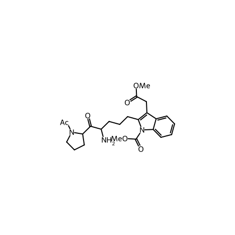 COC(=O)Cc1c(CCCC(N)C(=O)C2CCCN2C(C)=O)n(C(=O)OC)c2ccccc12